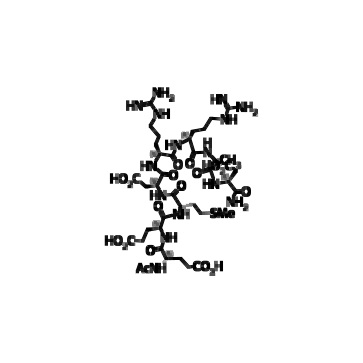 CSCC[C@H](NC(=O)[C@H](CCC(=O)O)NC(=O)[C@H](CCC(=O)O)NC(C)=O)C(=O)N[C@@H](CC(=O)O)C(=O)N[C@@H](CCCNC(=N)N)C(=O)N[C@@H](CCCNC(=N)N)C(=O)N[C@@H](C)C(=O)N[C@@H](CC(=O)O)C(N)=O